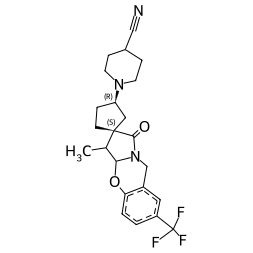 CC1C2Oc3ccc(C(F)(F)F)cc3CN2C(=O)[C@]12CC[C@@H](N1CCC(C#N)CC1)C2